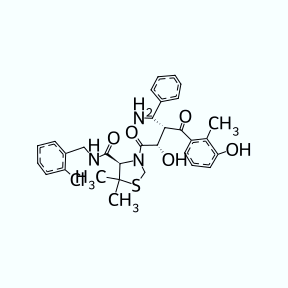 Cc1c(O)cccc1C(=O)[C@@H](C(N)c1ccccc1)[C@H](O)C(=O)N1CSC(C)(C)[C@H]1C(=O)NCc1ccccc1Cl